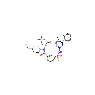 Cc1cccc(C)c1-c1nc2nc(c1C)OC[C@@H](CC(C)(C)C)N([C@H]1CC[C@H](CO)CC1)C(=O)c1cccc(c1)S(=O)(=O)N2